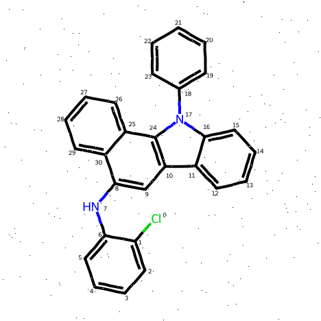 Clc1ccccc1Nc1cc2c3ccccc3n(-c3ccccc3)c2c2ccccc12